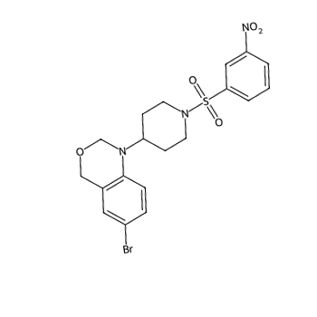 O=[N+]([O-])c1cccc(S(=O)(=O)N2CCC(N3COCc4cc(Br)ccc43)CC2)c1